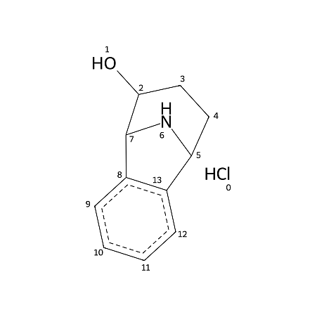 Cl.OC1CCC2NC1c1ccccc12